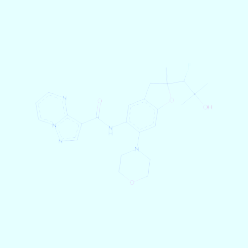 CC(C)(O)C(F)C1(C)Cc2cc(NC(=O)c3cnn4cccnc34)c(N3CCOCC3)cc2O1